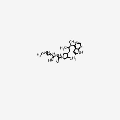 CNCNC(=N)NC(=O)N1CC(C)[C@H](CC(C)N(C)c2ncnc3[nH]ccc23)C1